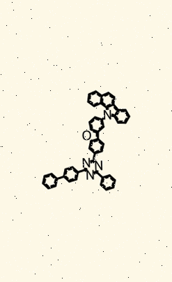 c1ccc(-c2ccc(-c3nc(-c4ccccc4)nc(-c4ccc5c(c4)oc4ccc(-n6c7ccccc7c7ccc8ccccc8c76)cc45)n3)cc2)cc1